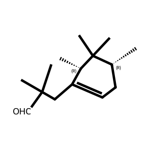 C[C@@H]1CC=C(CC(C)(C)C=O)[C@H](C)C1(C)C